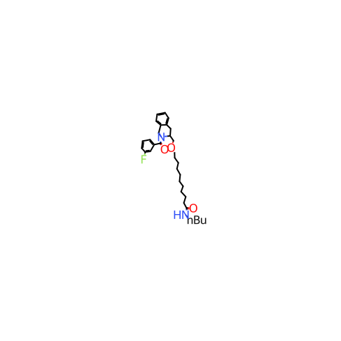 CCCCNC(=O)CCCCCCCCCCOCC1Cc2ccccc2CN1C(=O)c1cccc(F)c1